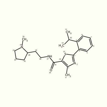 Cc1nc(-c2ccccc2C(C)C)sc1C(=O)NCCC1CCCN1C